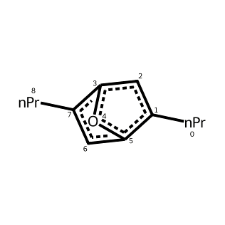 CCCc1cc2oc1cc2CCC